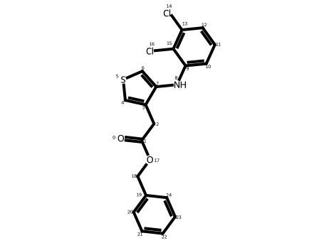 O=C(Cc1cscc1Nc1cccc(Cl)c1Cl)OCc1ccccc1